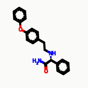 NC(=O)[C@H](NCCc1ccc(Oc2ccccc2)cc1)c1ccccc1